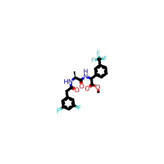 COC(=O)C(NC(=O)[C@H](C)NC(=O)Cc1cc(F)cc(F)c1)c1cccc(C(F)(F)F)c1